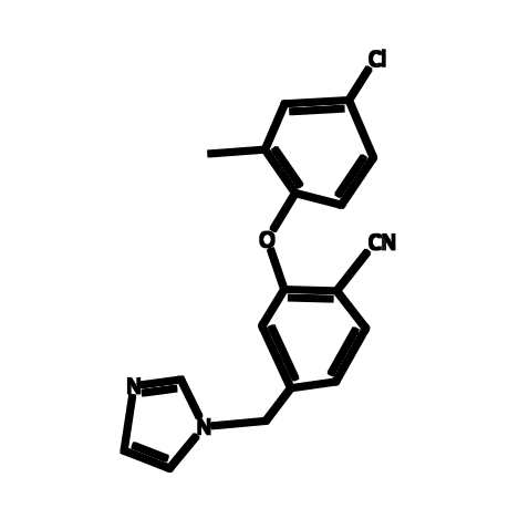 Cc1cc(Cl)ccc1Oc1cc(Cn2ccnc2)ccc1C#N